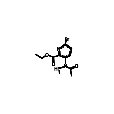 CCOC(=O)c1nc(Br)ccc1N(PC)C(C)=O